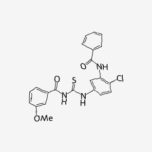 COc1cccc(C(=O)NC(=S)Nc2ccc(Cl)c(NC(=O)c3ccccc3)c2)c1